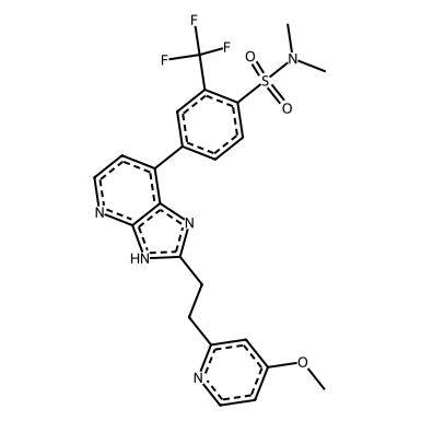 COc1ccnc(CCc2nc3c(-c4ccc(S(=O)(=O)N(C)C)c(C(F)(F)F)c4)ccnc3[nH]2)c1